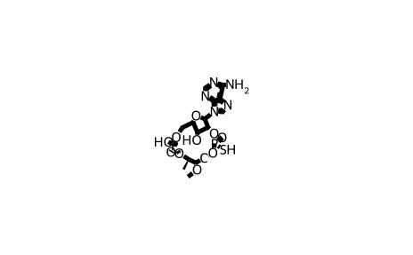 COC1COP(=O)(S)OC2C(O)C(COP(=O)(O)O[C@@H]1C)OC2n1cnc2c(N)ncnc21